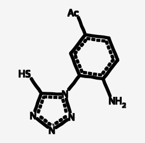 CC(=O)c1ccc(N)c(-n2nnnc2S)c1